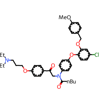 CCCCC(=O)N(CC(=O)c1ccc(OCCCN(CC)CC)cc1)c1ccc(Oc2ccc(Cl)cc2OCc2ccc(OC)cc2)cc1